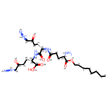 CCCCCCCCOC(=O)[C@@H](N)CCC(=O)N[C@@H](CCC(=O)C=[N+]=[N-])C(=O)N[C@@H](CCC(=O)C=[N+]=[N-])C(=O)O